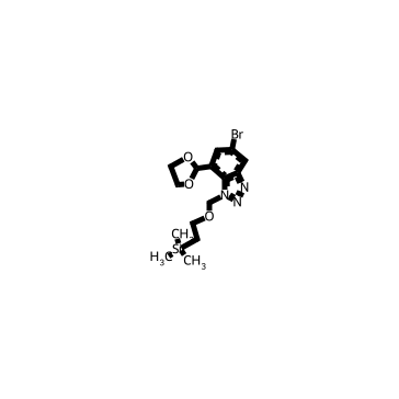 C[Si](C)(C)CCOCn1nnc2cc(Br)cc(C3OCCO3)c21